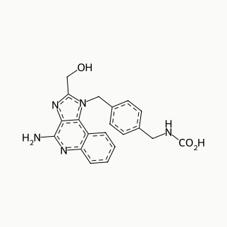 Nc1nc2ccccc2c2c1nc(CO)n2Cc1ccc(CNC(=O)O)cc1